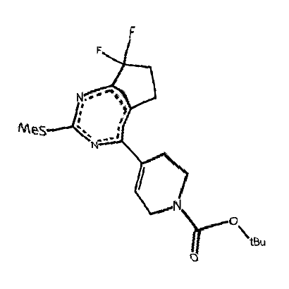 CSc1nc(C2=CCN(C(=O)OC(C)(C)C)CC2)c2c(n1)C(F)(F)CC2